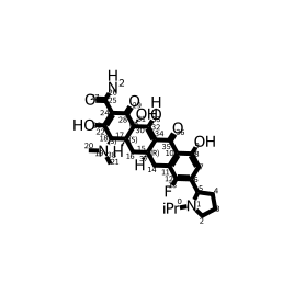 CC(C)N1CCCC1c1cc(O)c2c(c1F)C[C@H]1C[C@H]3[C@H](N(C)C)C(O)=C(C(N)=O)C(=O)[C@@]3(O)C(O)=C1C2=O